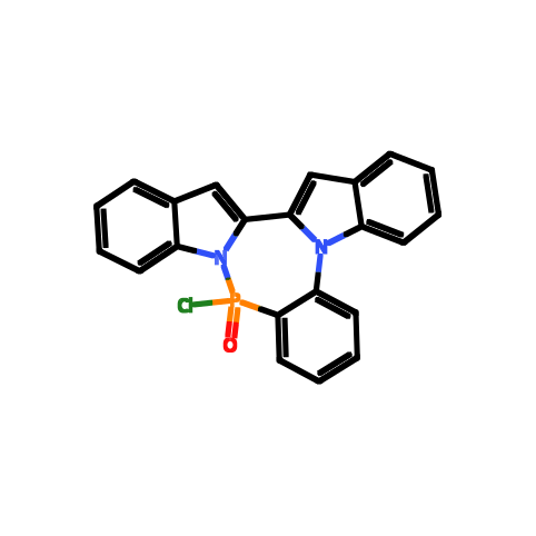 O=P1(Cl)c2ccccc2-n2c(cc3ccccc32)-c2cc3ccccc3n21